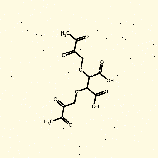 CC(=O)C(=O)COC(C(=O)O)C(OCC(=O)C(C)=O)C(=O)O